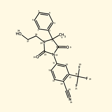 CC1(c2cc[c]cc2)C(=O)N(c2ccc(C#N)c(C(F)(F)F)c2)C(=O)N1CCO